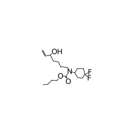 C=CC(O)CCCCN(C(=O)OCCCC)C1CCC(F)(F)CC1